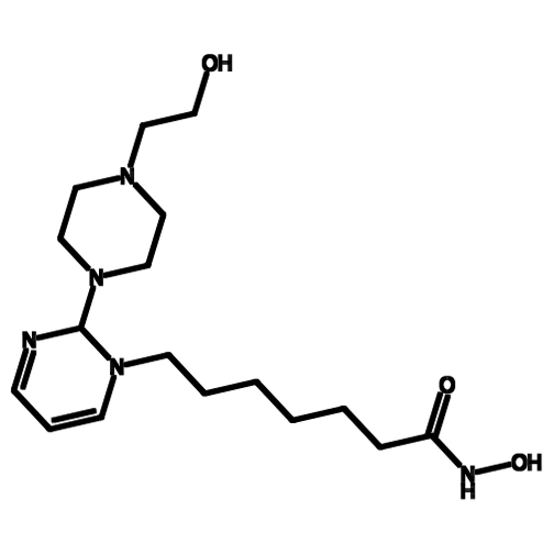 O=C(CCCCCCN1C=CC=NC1N1CCN(CCO)CC1)NO